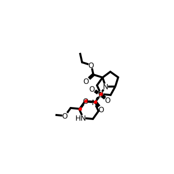 CCOC(=O)C12CCC(CN(C(=O)OCCOC)C1)N2S(=O)(=O)N1CCNCC1